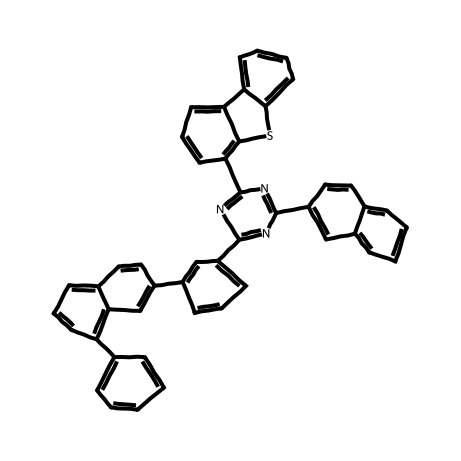 c1ccc(-c2cccc3ccc(-c4cccc(-c5nc(-c6ccc7ccccc7c6)nc(-c6cccc7c6sc6ccccc67)n5)c4)cc23)cc1